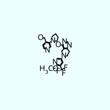 COc1ncc(N2CCc3ncnc(OC4CCCN4c4cnccc4C=O)c3C2)cc1C(F)(F)F